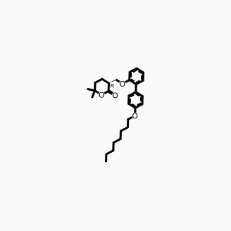 CCCCCCCCOc1ccc(-c2ccccc2OC[C@H]2CCC(C)(C)OC2=O)cc1